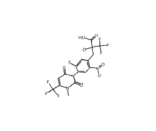 Cn1c(C(F)(F)F)cc(=O)n(-c2cc([N+](=O)[O-])c(CC(Cl)(C(=O)O)C(F)(F)F)cc2F)c1=O